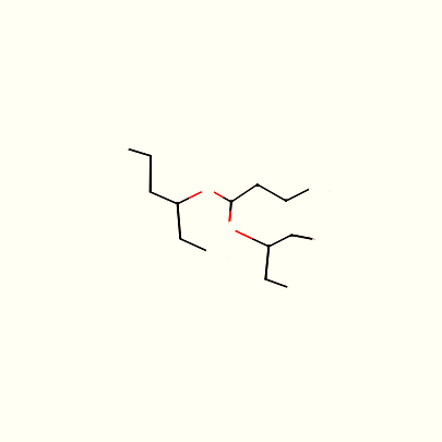 CCCC(CC)OC(CCC)OC(CC)CC